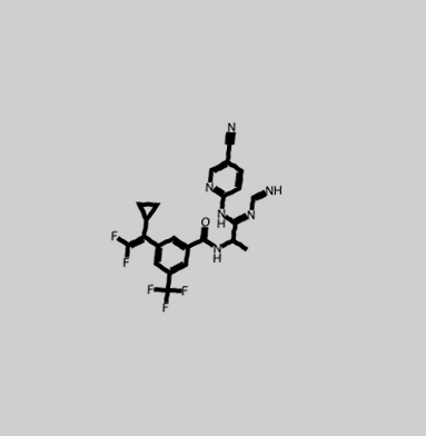 CC(NC(=O)c1cc(C(=C(F)F)C2CC2)cc(C(F)(F)F)c1)/C(=N/C=N)Nc1ccc(C#N)cn1